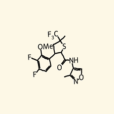 COc1c(C2CC(C)(C(F)(F)F)SC2C(=O)Nc2conc2C)ccc(F)c1F